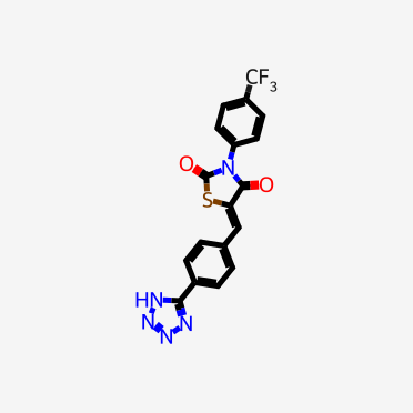 O=C1S/C(=C\c2ccc(-c3nnn[nH]3)cc2)C(=O)N1c1ccc(C(F)(F)F)cc1